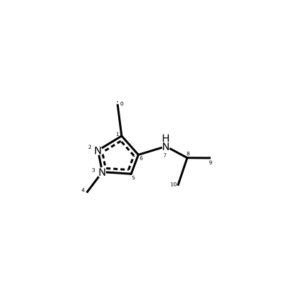 [CH2]c1nn(C)cc1NC(C)C